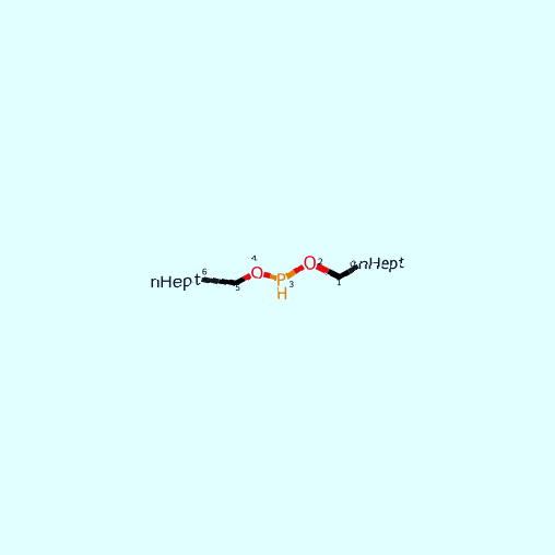 CCCCCCCCOPOCCCCCCCC